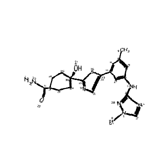 CCn1cnc(Nc2cc(C)cc(-c3cnc([C@]4(O)CC[C@@H](C(N)=O)CC4)s3)c2)n1